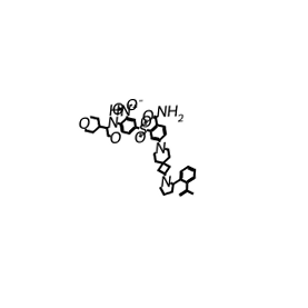 C=C(C)c1ccccc1C1CCCN1C1CC2(CCN(c3ccc(C(N)=O)c(S(=O)(=O)c4cc5c(c([N+](=O)[O-])c4)NC(C4CCOCC4)CO5)c3)CC2)C1